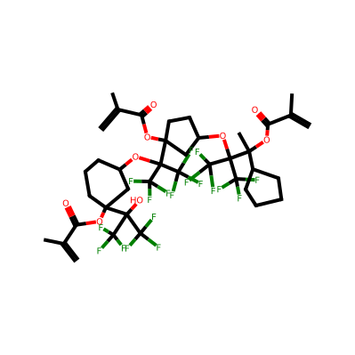 C=C(C)C(=O)OC1(C(O)(C(F)(F)F)C(F)(F)F)CCCC(OC(C(F)(F)F)(C(F)(F)F)C2(OC(=O)C(=C)C)CCC(OC(C(F)(F)F)(C(F)(F)F)C(C)(OC(=O)C(=C)C)C3CCCC3)C2)C1